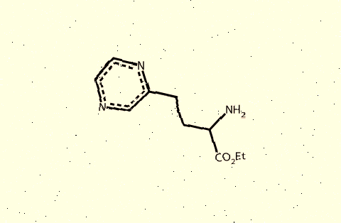 CCOC(=O)C(N)CCc1cnccn1